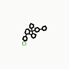 Clc1ccc(-c2cccc3c2-c2ccccc2C3(c2ccccc2)c2ccc(-c3ccccc3)cc2)cc1